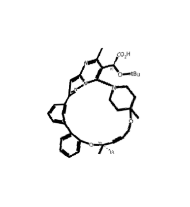 Cc1nc2cc3nn2c(c1[C@H](OC(C)(C)C)C(=O)O)N1CCC(C)(CC1)OCC=C[C@@H](C)Oc1ccccc1-c1cccc-3c1